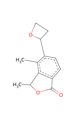 Cc1c(C2CCO2)ccc2c1C(C)OC2=O